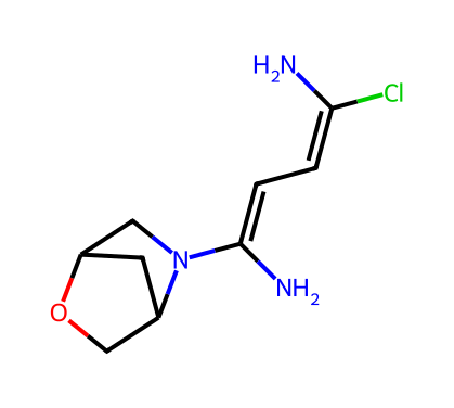 N/C(Cl)=C\C=C(/N)N1CC2CC1CO2